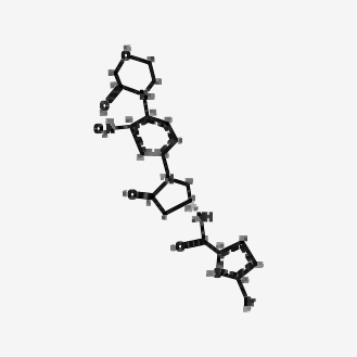 O=C(N[C@@H]1CC(=O)N(c2ccc(N3CCOCC3=O)c([N+](=O)[O-])c2)C1)c1ccc(Br)s1